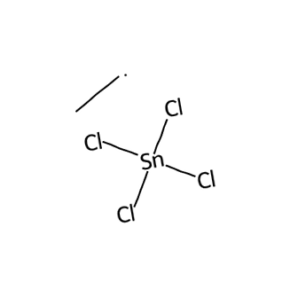 [CH2]C.[Cl][Sn]([Cl])([Cl])[Cl]